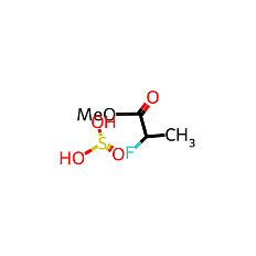 COC(=O)C(C)F.O=S(O)O